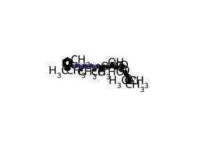 CC1=C(/C=C/C(C)=C/C=C/C(C)=C/C(=O)OCC(O)COP(=O)(O)OCC[N+](C)(C)C)C(C)(C)CCC1